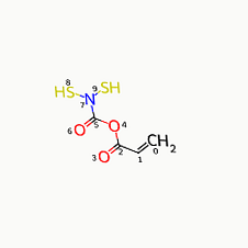 C=CC(=O)OC(=O)N(S)S